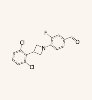 O=Cc1ccc(N2CC(c3c(Cl)cccc3Cl)C2)c(F)c1